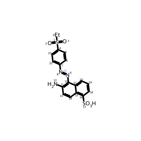 CCS(=O)(=O)c1ccc(/N=N/c2c(N)ccc3c(S(=O)(=O)O)cccc23)cc1